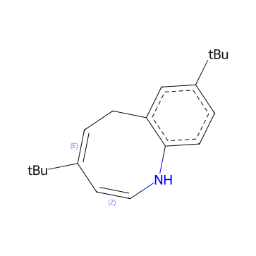 CC(C)(C)C1=C/Cc2cc(C(C)(C)C)ccc2N/C=C\1